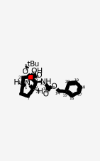 CC(C)(C)OC(=O)N1[C@H]2CC[C@@H]1[C@H](NC(=O)OCc1ccccc1)[C@H](O)C2